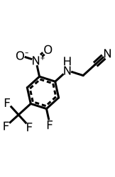 N#CCNc1cc(F)c(C(F)(F)F)cc1[N+](=O)[O-]